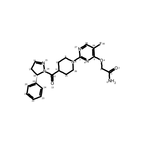 NC(=O)COc1nc(N2CCC(C(=O)N3N=CC[C@H]3c3ccccc3)CC2)ncc1F